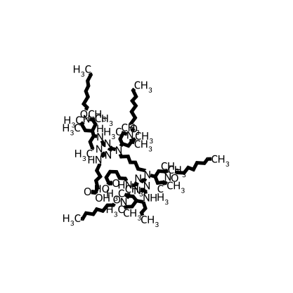 CCCCCCCCON1C(C)(C)CC(C(CCC)Nc2nc(NCCCCCC(=O)O)nc(N(CCCCCCN(c3nc(NCCCCCC(=O)O)nc(NC(CCC)C4CC(C)(C)N(OCCCCCCCC)C(C)(C)C4)n3)C3CC(C)(C)N(OCCCCCCCC)C(C)(C)C3)C3CC(C)(C)N(OCCCCCCCC)C(C)(C)C3)n2)CC1(C)C